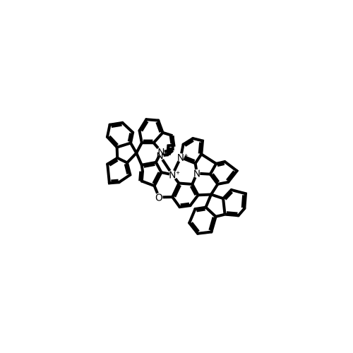 c1ccc2c(c1)-c1ccccc1C21c2ccc3c4c2-n2c5c1cccc5c1ccc[n+](c12)[N+]41c2c(ccc4c2-n2c5c(cccc5c5ccc[n+]1c52)C41c2ccccc2-c2ccccc21)O3